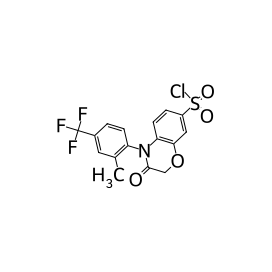 Cc1cc(C(F)(F)F)ccc1N1C(=O)COc2cc(S(=O)(=O)Cl)ccc21